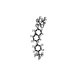 O=S(=O)(Oc1ccc2cc(-c3ccc(C(F)(F)F)cc3)ccc2c1)C(F)(F)F